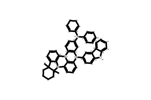 CC12CCCCC1(C)N1c3cccc4c3B(c3ccc(N(C5=CCCC=C5)c5ccccc5)cc3N4c3ccc4oc5ccccc5c4c3)c3cccc2c31